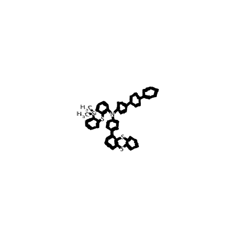 C[Si]1(C)c2ccccc2Sc2c(N(c3ccc(-c4ccc(-c5ccccc5)cc4)cc3)c3ccc(-c4cccc5c4Sc4ccccc4S5)cc3)cccc21